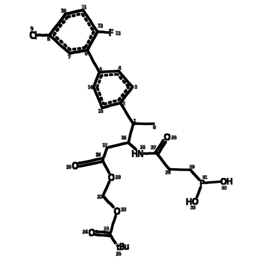 CC(c1ccc(-c2cc(Cl)ccc2F)cc1)C(CC(=O)OCOC(=O)C(C)(C)C)NC(=O)CCP(O)O